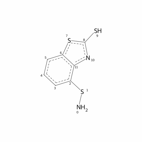 NSc1cccc2sc(S)nc12